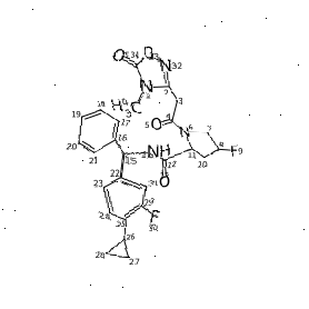 Cn1c(CC(=O)N2CC(F)CC2C(=O)NC(c2ccccc2)c2ccc(C3CC3)c(F)c2)noc1=O